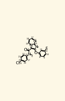 CN(C(=O)c1c(Oc2cccc(F)c2)nc2ncccn12)c1ccc(Cl)cc1